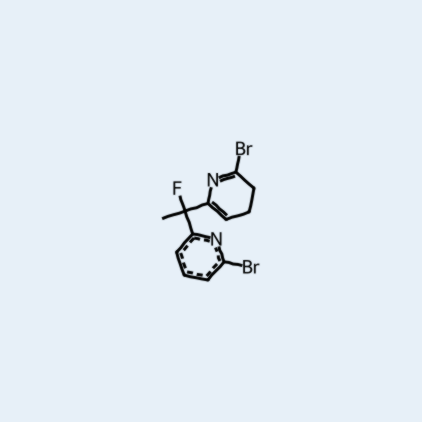 CC(F)(C1=CCCC(Br)=N1)c1cccc(Br)n1